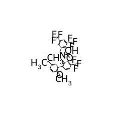 COc1ccc(C(C)C)cc1-c1ccc(C(F)(F)F)cc1CN(Cc1cc(C(F)(F)F)cc(C(F)(F)F)c1)C(=O)O